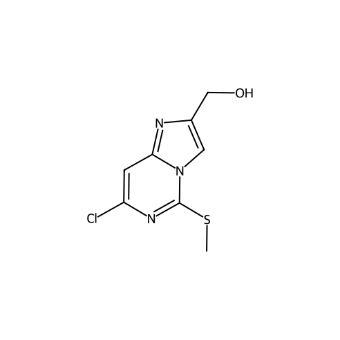 CSc1nc(Cl)cc2nc(CO)cn12